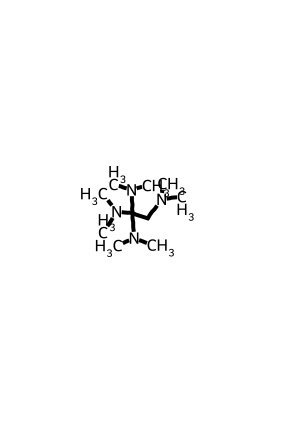 CN(C)CC(N(C)C)(N(C)C)N(C)C